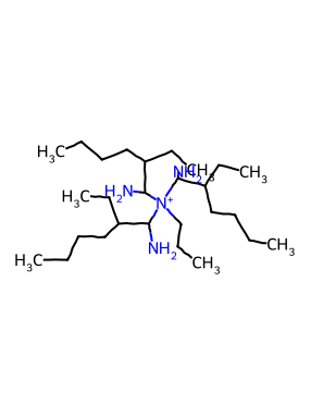 CCCCC(CC)C(N)[N+](CCC)(C(N)C(CC)CCCC)C(N)C(CC)CCCC